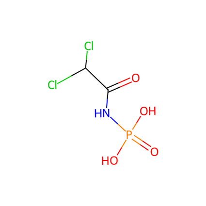 O=C(NP(=O)(O)O)C(Cl)Cl